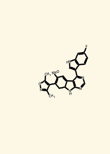 COC1=C(c2c(C)noc2C)CC2Nc3ncnc(-c4c[nH]c5cc(F)ccc45)c3C2=C1